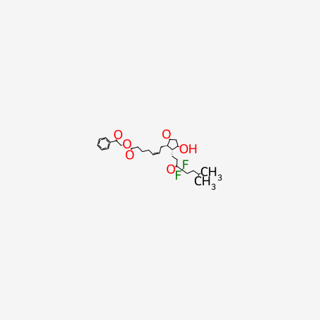 CC(C)CCC(F)(F)C(=O)CC[C@H]1[C@H](O)CC(=O)[C@@H]1C/C=C\CCCC(=O)OCC(=O)c1ccccc1